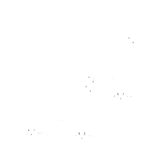 COc1ccc(-c2ccn(-c3cc4c(cc3OC)CCNC4)n2)cc1OC